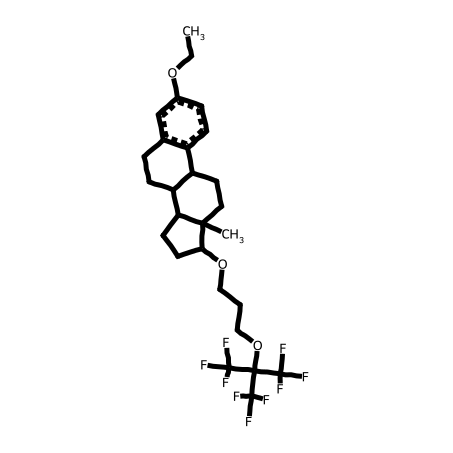 CCOc1ccc2c(c1)CCC1C2CCC2(C)C(OCCCOC(C(F)(F)F)(C(F)(F)F)C(F)(F)F)CCC12